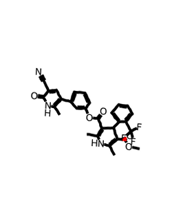 COC(=O)C1=C(C)NC(C)=C(C(=O)Oc2cccc(-c3cc(C#N)c(=O)[nH]c3C)c2)C1c1ccccc1C(F)(F)F